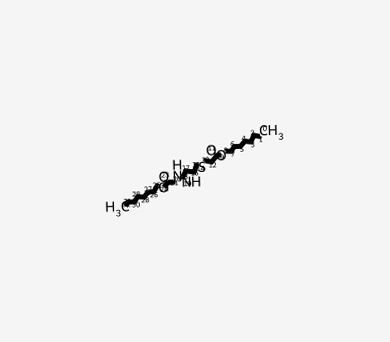 CCCCCCCCCOC(=O)CCSCCCC(=N)NCC(=O)OCCCCCCCC